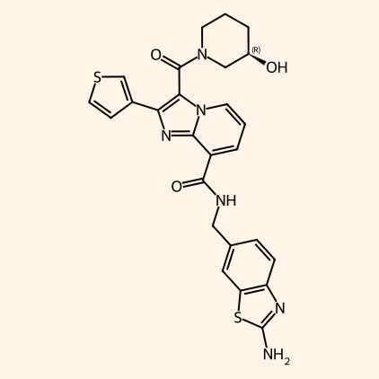 Nc1nc2ccc(CNC(=O)c3cccn4c(C(=O)N5CCC[C@@H](O)C5)c(-c5ccsc5)nc34)cc2s1